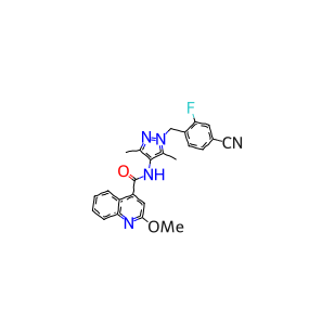 COc1cc(C(=O)Nc2c(C)nn(Cc3ccc(C#N)cc3F)c2C)c2ccccc2n1